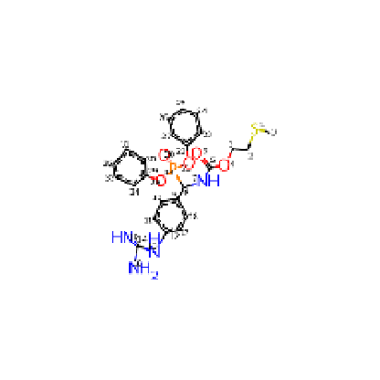 CSCCOC(=O)NC(c1ccc(NC(=N)N)cc1)P(=O)(Oc1ccccc1)Oc1ccccc1